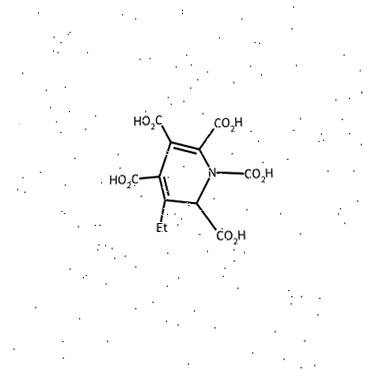 CCC1=C(C(=O)O)C(C(=O)O)=C(C(=O)O)N(C(=O)O)C1C(=O)O